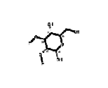 OC[C@H]1O[C@H](O)[C@H](OF)[C@@H](OF)[C@@H]1O